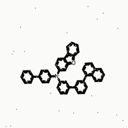 c1ccc(-c2ccc(N(c3cccc(-c4cccc(-c5cccc6ccccc56)c4)c3)c3ccc4c(c3)oc3ccccc34)cc2)cc1